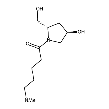 CNCCCCC(=O)N1C[C@H](O)C[C@H]1CO